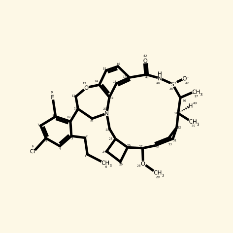 CCCc1cc(Cl)cc(F)c1C1COc2ccc3cc2N(C1)CC1CCC1C(OC)C1=CC(C1)[C@H](C)C(C)[S+]([O-])NC3=O